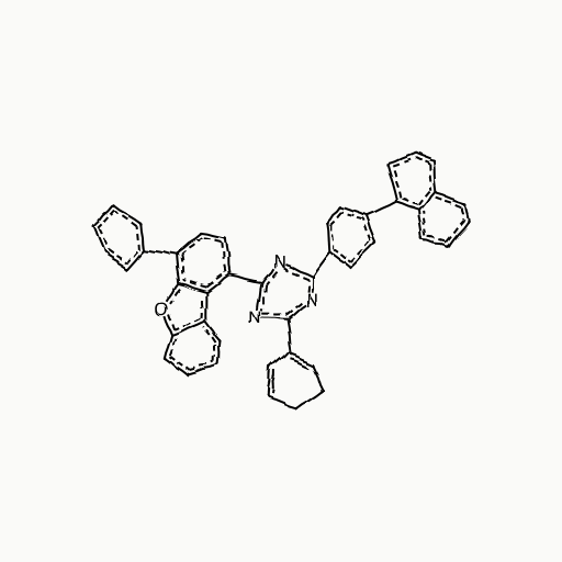 C1=CC(c2nc(-c3ccc(-c4cccc5ccccc45)cc3)nc(-c3ccc(-c4ccccc4)c4oc5ccccc5c34)n2)=CCC1